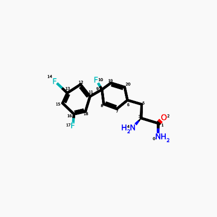 NC(=O)[C@@H](N)CC1C=CC(F)(c2cc(F)cc(F)c2)C=C1